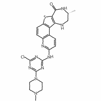 C[C@@H]1CNc2c(sc3ccc4nc(Nc5nc(Cl)nc(N6CCN(C)CC6)n5)ccc4c23)C(=O)N1